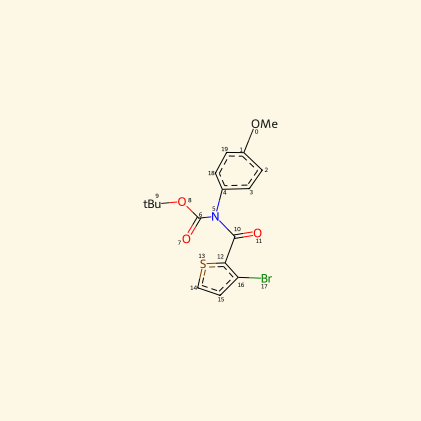 COc1ccc(N(C(=O)OC(C)(C)C)C(=O)c2sccc2Br)cc1